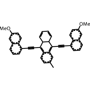 COc1ccc2c(C#CC3=c4ccc(C)cc4=C(C#Cc4cccc5cc(OC)ccc45)C4C=CC=CC34)cccc2c1